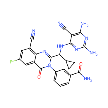 N#Cc1c(N)nc(N)nc1NC(c1nc2c(C#N)cc(F)cc2c(=O)n1-c1cccc(C(N)=O)c1)C1CC1